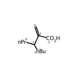 C=C(C(=O)O)C(CCC)CCCC